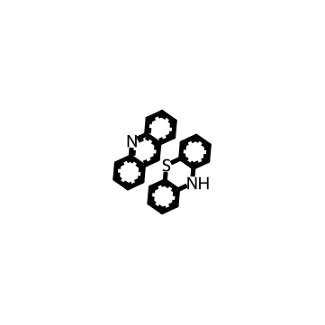 c1ccc2c(c1)Nc1ccccc1S2.c1ccc2nc3ccccc3cc2c1